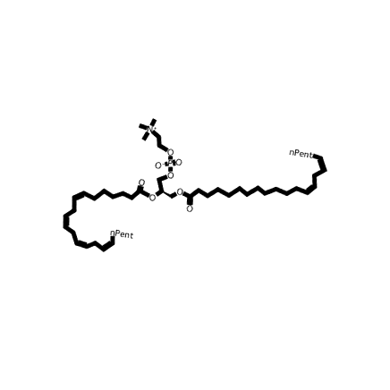 CCCCC/C=C\C/C=C\C/C=C\C/C=C\CCCCCC(=O)O[C@H](COC(=O)CCCCCCCCCCC/C=C\C/C=C\CCCCC)COP(=O)([O-])OCC[N+](C)(C)C